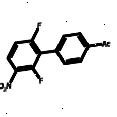 CC(=O)c1ccc(-c2c(F)ccc([N+](=O)[O-])c2F)cc1